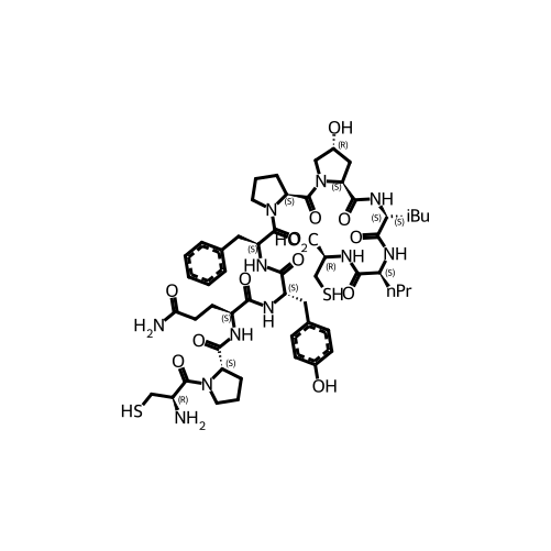 CCC[C@H](NC(=O)[C@@H](NC(=O)[C@@H]1C[C@@H](O)CN1C(=O)[C@@H]1CCCN1C(=O)[C@H](Cc1ccccc1)NC(=O)[C@H](Cc1ccc(O)cc1)NC(=O)[C@H](CCC(N)=O)NC(=O)[C@@H]1CCCN1C(=O)[C@@H](N)CS)[C@@H](C)CC)C(=O)N[C@@H](CS)C(=O)O